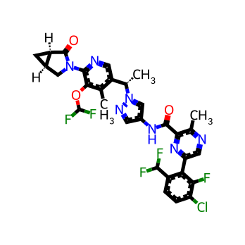 Cc1ncc(-c2c(C(F)F)ccc(Cl)c2F)nc1C(=O)Nc1cnn([C@@H](C)c2cnc(N3C[C@H]4C[C@H]4C3=O)c(OC(F)F)c2C)c1